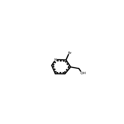 OCc1cccnc1Br